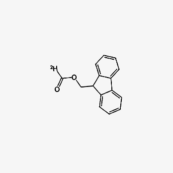 [2H]C(=O)OCC1c2ccccc2-c2ccccc21